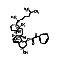 CC(C)CCC[C@@H](C)[C@H]1CC[C@H]2[C@@H]3CC=C4C[C@@H](O)CC(OC(=O)Nc5ccccc5)[C@]4(C)[C@H]3CC[C@]12C